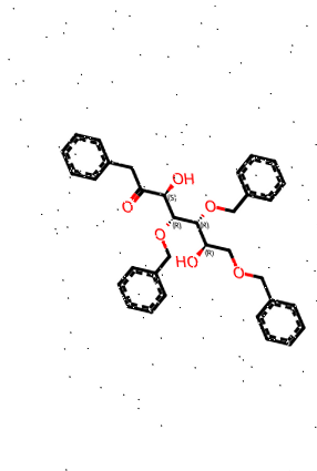 O=C(Cc1ccccc1)[C@@H](O)[C@@H](OCc1ccccc1)[C@H](OCc1ccccc1)[C@H](O)COCc1ccccc1